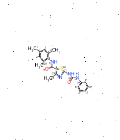 Cc1cc(C)c(NC(=O)c2sc(NC(=O)Nc3ccccc3)nc2C)c(C)c1